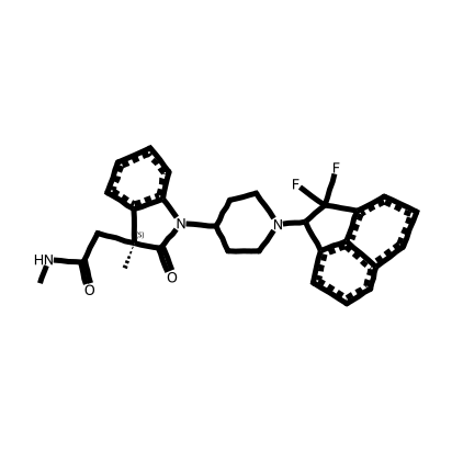 CNC(=O)C[C@]1(C)C(=O)N(C2CCN(C3c4cccc5cccc(c45)C3(F)F)CC2)c2ccccc21